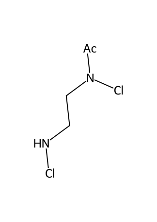 CC(=O)N(Cl)CCNCl